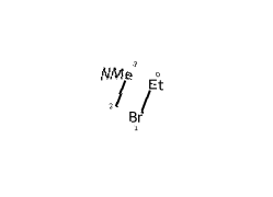 CCBr.CNC